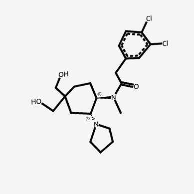 CN(C(=O)Cc1ccc(Cl)c(Cl)c1)[C@@H]1CCC(CO)(CO)C[C@H]1N1CCCC1